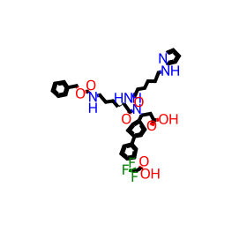 O=C(O)C(F)(F)F.O=C(O)CC(NC(=O)[C@H](CCCCNC(=O)OCc1ccccc1)NC(=O)CCCCCNc1ccccn1)c1ccc(-c2ccccc2)cc1